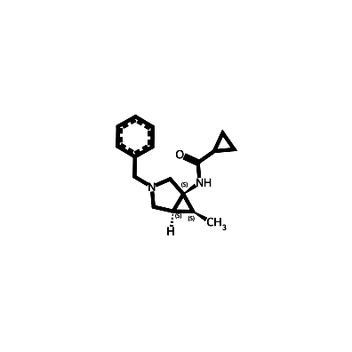 C[C@H]1[C@H]2CN(Cc3ccccc3)C[C@@]21NC(=O)C1CC1